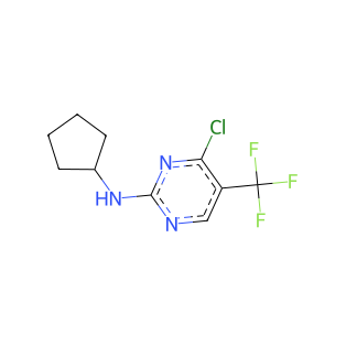 FC(F)(F)c1cnc(NC2CCCC2)nc1Cl